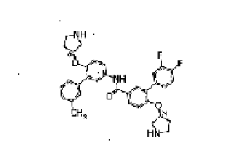 Cc1cccc(-c2cc(NC(=O)c3ccc(O[C@H]4CCNC4)c(-c4ccc(F)c(F)c4)c3)ccc2O[C@H]2CCNC2)c1